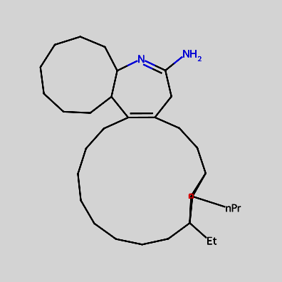 CCCC1C2CCC3=C(CCCCCCCCC1(CC)C2)C1CCCCCCCC1N=C(N)C3